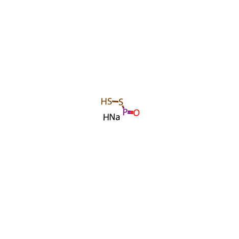 O=PSS.[NaH]